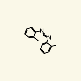 Cc1ccccc1N=C=Nc1ccccc1C